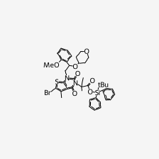 COc1ccccc1C(Cn1c(=O)n(C(C)(C)C(=O)O[Si](c2ccccc2)(c2ccccc2)C(C)(C)C)c(=O)c2c(C)c(Br)sc21)OC1CCOCC1